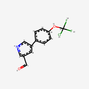 O=Cc1cncc(-c2ccc(OC(F)(F)Cl)cc2)c1